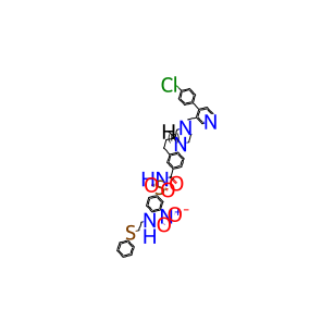 O=C(NS(=O)(=O)c1ccc(NCCSc2ccccc2)c([N+](=O)[O-])c1)c1ccc2c(c1)CC[C@@H]1CN(Cc3cnccc3-c3ccc(Cl)cc3)CCN21